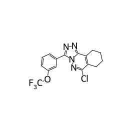 FC(F)(F)Oc1cccc(-c2nnc3c4c(c(Cl)nn23)CCCC4)c1